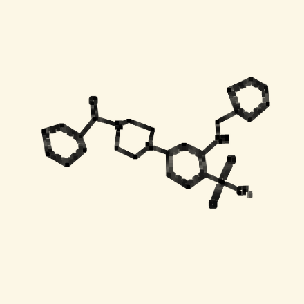 O=C(c1ccccc1)N1CCN(c2ccc(S(=O)(=O)C(F)(F)F)c(NCc3ccccc3)c2)CC1